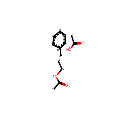 CC(=O)O.CCOC(C)=O.Cc1ccccc1